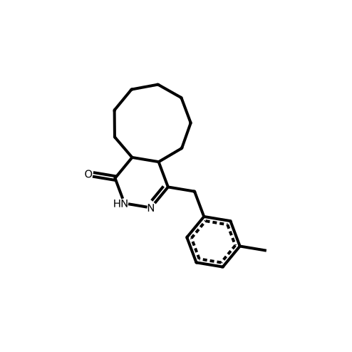 Cc1cccc(CC2=NNC(=O)C3CCCCCCCC23)c1